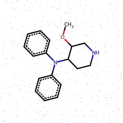 COC1CNCCC1N(c1ccccc1)c1ccccc1